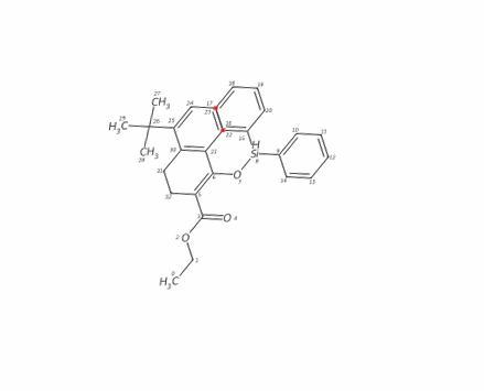 CCOC(=O)C1=C(O[SiH](c2ccccc2)c2ccccc2)c2cccc(C(C)(C)C)c2CC1